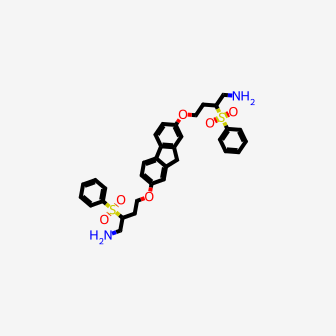 NCC(CCOc1ccc2c(c1)Cc1cc(OCCC(CN)S(=O)(=O)c3ccccc3)ccc1-2)S(=O)(=O)c1ccccc1